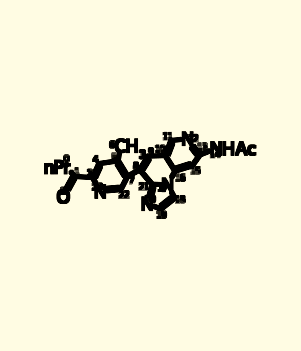 CCCC(=O)c1cc(C)c(-c2cc3cnc(NC(C)=O)cc3n3ccnc23)cn1